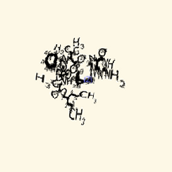 CCCC(CCC)COC(=O)[C@H](C)NP(=O)(OC[C@@]1(COC(=O)C(N)C(C)C)C/C1=C/n1cnc2c(=O)[nH]c(N)nc21)Oc1ccccc1